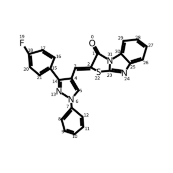 O=c1c(=Cc2cn(-c3ccccc3)nc2-c2ccc(F)cc2)sc2nc3ccccc3n12